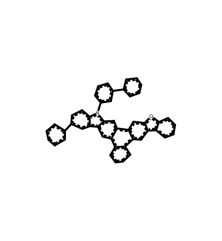 c1ccc(-c2cccc(-n3c4ccc(-c5ccccc5)cc4c4cc5c6ccccc6c6cc7c(cc6c5cc43)oc3ccccc37)c2)cc1